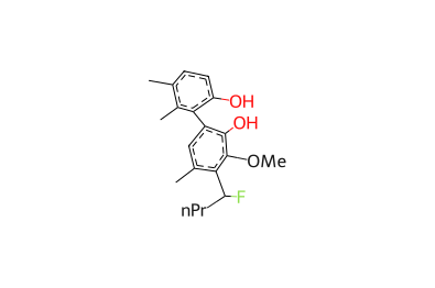 CCCC(F)c1c(C)cc(-c2c(O)ccc(C)c2C)c(O)c1OC